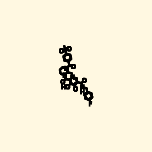 CS(=O)(=O)c1ccc(C(=O)N2CCCN3C(=O)c4c(O)c(=O)c(C(=O)NCc5ccc(F)cc5)cn4CC23)cc1